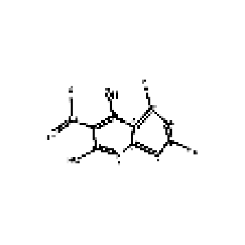 O=[N+]([O-])c1c(O)nc2cc(F)cc(F)c2c1O